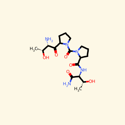 C[C@@H](O)[C@H](N)C(=O)C1CCCN1C(=O)N1CCCC1C(=O)N[C@H](C(N)=O)[C@@H](C)O